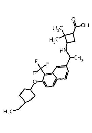 CCC1CCC(Oc2ccc3ccc(C(C)NC4CC(C(=O)O)C4(C)C)cc3c2C(F)(F)F)CC1